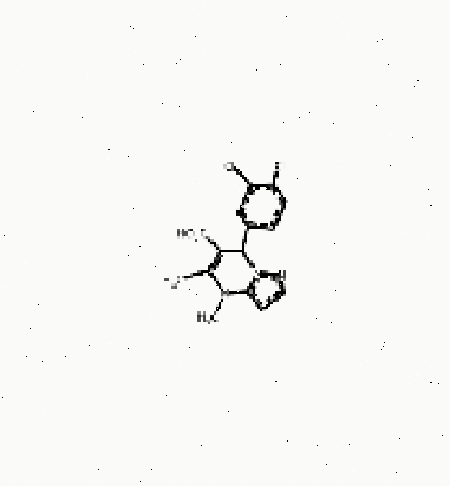 CC1=C(C(=O)O)C(c2ccc(Cl)c(Cl)c2)n2nccc2N1C